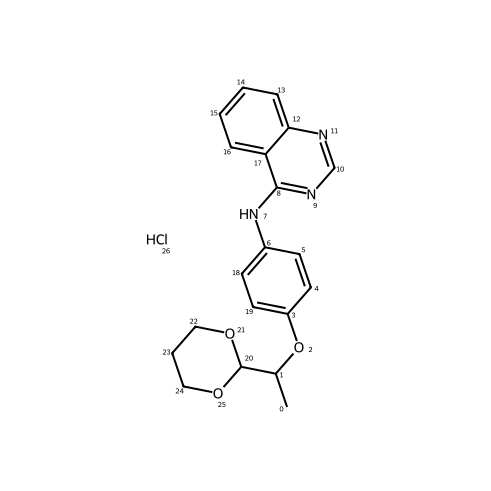 CC(Oc1ccc(Nc2ncnc3ccccc23)cc1)C1OCCCO1.Cl